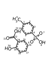 Cc1ccc(S(=O)(=O)O)cc1.O=C(O)c1ccccc1O